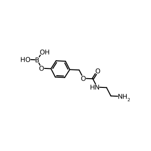 NCCNC(=O)OCc1ccc(OB(O)O)cc1